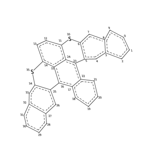 c1ccc2cc3c(cc2c1)Sc1ccc2c4c(c5ccccc5c-3c14)-c1cc3ccccc3cc1S2